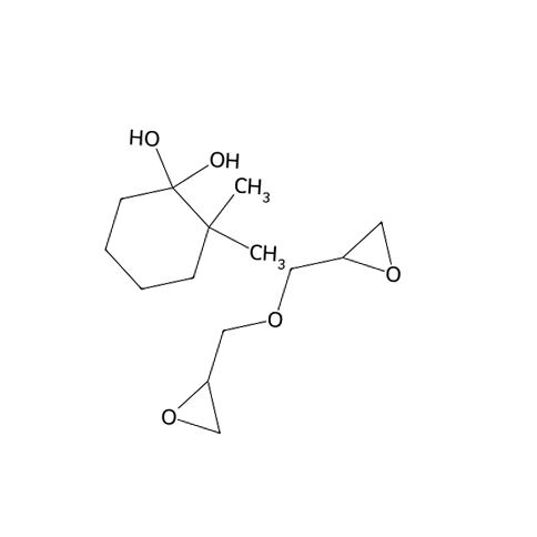 C(OCC1CO1)C1CO1.CC1(C)CCCCC1(O)O